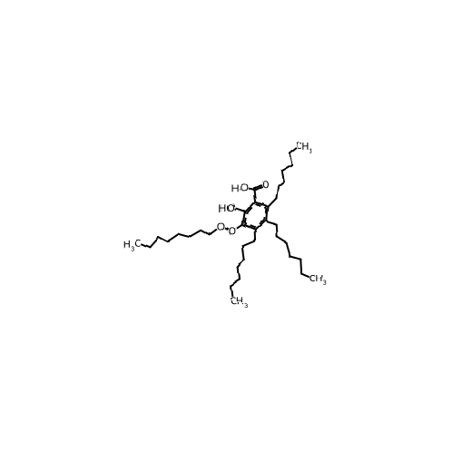 CCCCCCCCOOc1c(O)c(C(=O)O)c(CCCCCCC)c(CCCCCCC)c1CCCCCCC